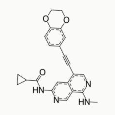 CNc1ncc(C#Cc2ccc3c(c2)OCCO3)c2cc(NC(=O)C3CC3)ncc12